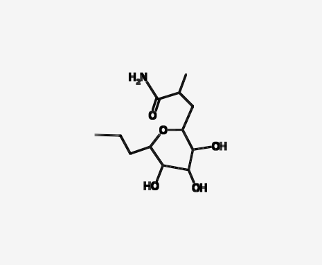 CCCC1OC(CC(C)C(N)=O)C(O)C(O)C1O